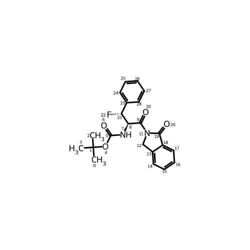 CC(C)(C)OC(=O)N[C@H](C(=O)N1Cc2ccccc2C1=O)[C@H](F)c1ccccc1